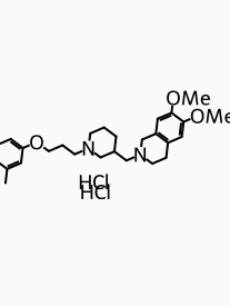 COc1cc2c(cc1OC)CN(CC1CCCN(CCCOc3cccc(C)c3)C1)CC2.Cl.Cl